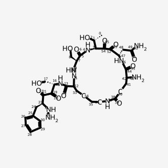 C[C@@H](O)[C@@H]1NC(=O)[C@H](CO)NNC(C(=O)N[C@@H](CO)C(=O)C(=O)[C@H](Cc2ccccc2)NN)CCCCNC(=O)CCC(N)C(=O)N[C@@H](CC(N)=O)C(=O)C1=O